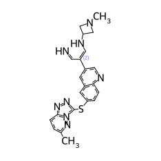 Cc1ccc2nnc(Sc3ccc4ncc(/C(C=N)=C/NC5CN(C)C5)cc4c3)n2n1